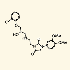 COc1ccc(N2CC(=O)N(CCNCC(O)COc3ccccc3Cl)C2=O)cc1OC